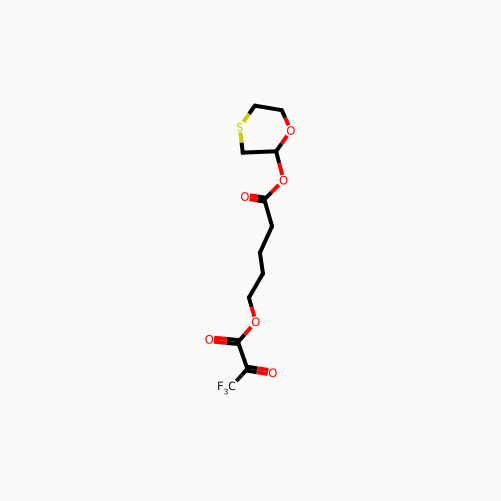 O=C(CCCCOC(=O)C(=O)C(F)(F)F)OC1CSCCO1